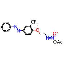 CC(=O)O[N+]([O-])=NCCOc1ccc(N=Nc2ccccc2)cc1C(F)(F)F